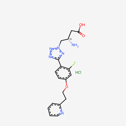 Cl.N[C@@H](CC(=O)O)Cn1nnc(-c2ccc(OCCc3ccccn3)cc2F)n1